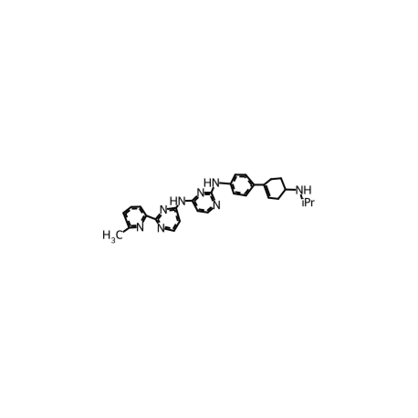 Cc1cccc(-c2nccc(Nc3ccnc(Nc4ccc(C5=CCC(NC(C)C)CC5)cc4)n3)n2)n1